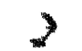 CC1=C(O)C(=O)C=C2C1=CC=C1[C@@]2(C)CC[C@@]2(C)[C@@H]3C[C@](C)(C(O)NCCOCCOCCNc4cccc5c4C(=O)N(C4CCC(=O)NC4=O)C5=O)CC[C@]3(C)CC[C@]12C